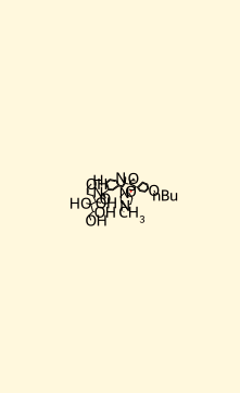 CCCCOc1ccc(S(=O)(=O)c2cnc3ccc(C(=O)NC(/C=C\O)C(O)C(O)C(O)CO)cc3c2N2CCCN(C)CC2)cc1